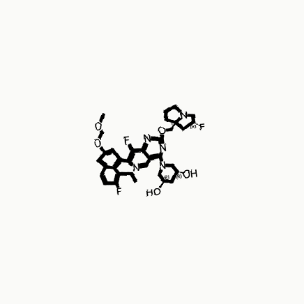 CCc1c(F)ccc2cc(OCOC)cc(-c3ncc4c(N5C[C@H](O)C[C@@H](O)C5)nc(OC[C@@]56CCCN5C[C@H](F)C6)nc4c3F)c12